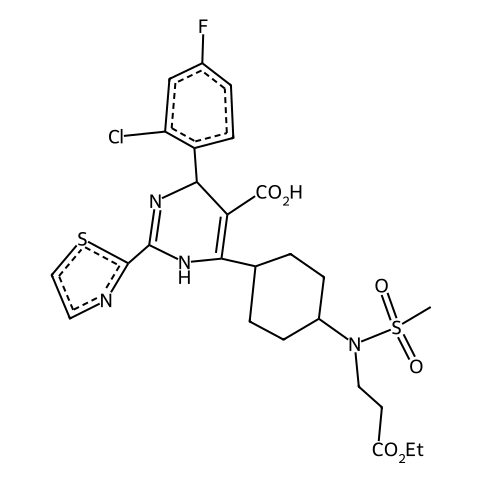 CCOC(=O)CCN(C1CCC(C2=C(C(=O)O)C(c3ccc(F)cc3Cl)N=C(c3nccs3)N2)CC1)S(C)(=O)=O